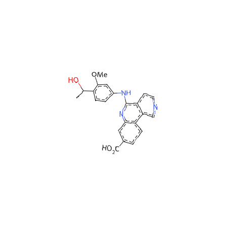 COc1cc(Nc2nc3cc(C(=O)O)ccc3c3cnccc23)ccc1C(C)O